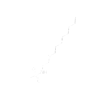 CCCCCCCCSCCNS(C)(=O)=O